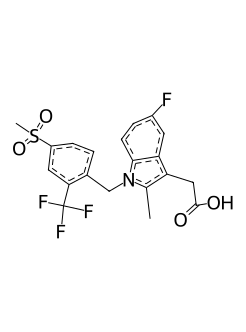 Cc1c(CC(=O)O)c2cc(F)ccc2n1Cc1ccc(S(C)(=O)=O)cc1C(F)(F)F